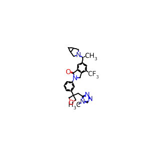 C[C@@H](c1cc2c(c(C(F)(F)F)c1)CN(c1cccc(C3(Cc4nncn4C)COC3)c1)C2=O)N1CC2CC2C1